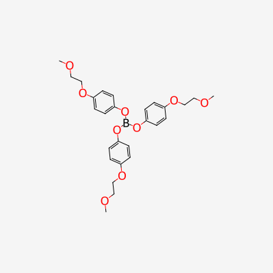 COCCOc1ccc(OB(Oc2ccc(OCCOC)cc2)Oc2ccc(OCCOC)cc2)cc1